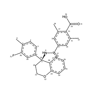 Cc1ccc([C@@]2(NC(=O)c3cc(C)c(C(=O)O)c(C)c3)CCOc3cccnc32)cc1F